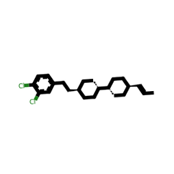 CC=C[C@H]1CC[C@H]([C@H]2CC[C@H](CCc3ccc(Cl)c(Cl)c3)CC2)CC1